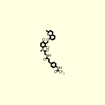 Cc1ccc2cccc(OCc3c(Cl)ccc(N(C)C(=O)CNC(=O)C=Cc4ccc(NC(=O)C(F)(F)F)cc4)c3Cl)c2n1